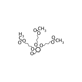 CC(=O)OCCCCOc1ccc(C=O)c(OCCCCOC(C)=O)c1OCCCCOC(C)=O